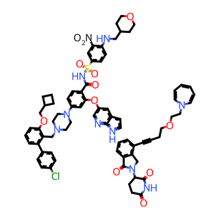 O=C(NS(=O)(=O)c1ccc(NCC2CCOCC2)c([N+](=O)[O-])c1)c1ccc(N2CCN(Cc3c(OCC4CCC4)cccc3-c3ccc(Cl)cc3)CC2)cc1Oc1cnc2[nH]ccc2c1.O=C1CCC(N2Cc3c(C#CCCOCCN4C=CC=CC=C4)cccc3C2=O)C(=O)N1